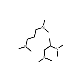 CC(CN(C)C)N(C)C.CN(C)CCCN(C)C